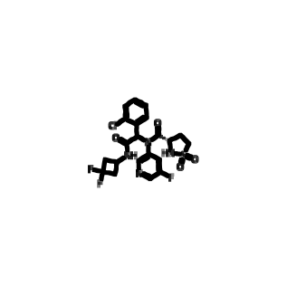 O=C(NC1CC(F)(F)C1)C(c1ccccc1Cl)N(C(=O)[C@@H]1CCS(=O)(=O)N1)c1cncc(F)c1